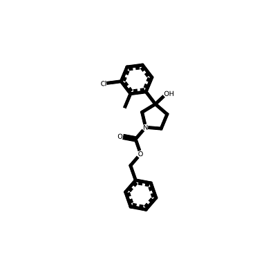 Cc1c(Cl)cccc1C1(O)CCN(C(=O)OCc2ccccc2)C1